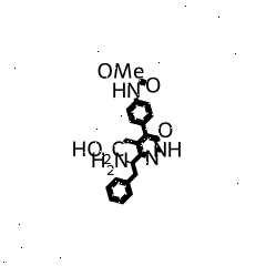 COC(=O)Nc1ccc(-c2c(CC(=O)O)c([C@@H](N)Cc3ccccc3)n[nH]c2=O)cc1